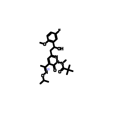 COc1ccc(F)cc1C(O)Cc1cc(/C(C)=N/OC(C)C)c(=O)n(N(C)C(=O)C(C)(C)C)n1